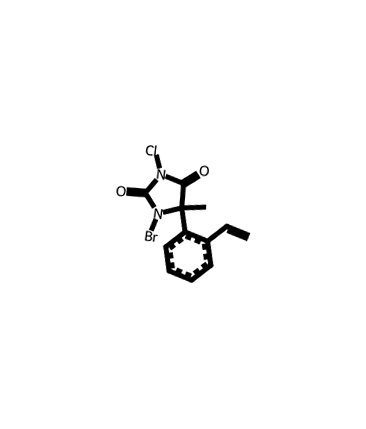 C=Cc1ccccc1C1(C)C(=O)N(Cl)C(=O)N1Br